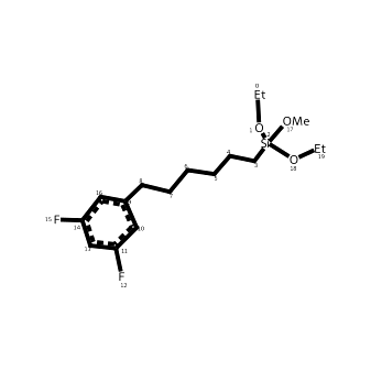 CCO[Si](CCCCCCc1cc(F)cc(F)c1)(OC)OCC